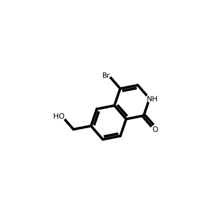 O=c1[nH]cc(Br)c2cc(CO)ccc12